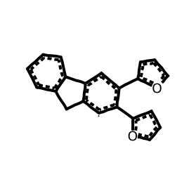 [c]1c2c(cc(-c3ccco3)c1-c1ccco1)-c1ccccc1C2